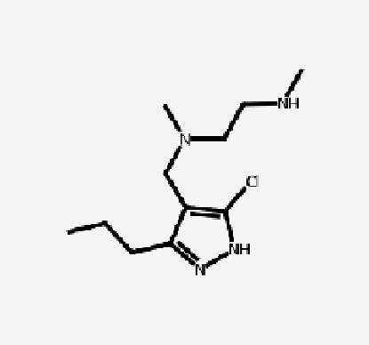 CCCc1n[nH]c(Cl)c1CN(C)CCNC